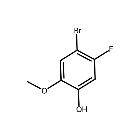 COc1cc(Br)c(F)cc1O